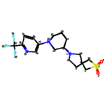 O=S1(=O)CC2(CCN([C@@H]3CCCN(c4ccc(C(F)(F)F)nc4)C3)C2)C1